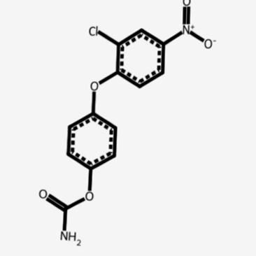 NC(=O)Oc1ccc(Oc2ccc([N+](=O)[O-])cc2Cl)cc1